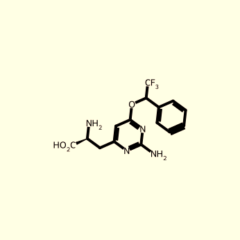 Nc1nc(C[C@H](N)C(=O)O)cc(OC(c2cc#ccc2)C(F)(F)F)n1